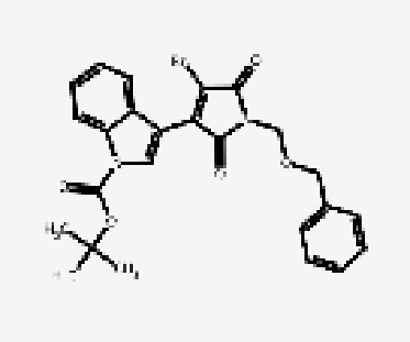 CC(C)(C)OC(=O)n1cc(C2=C(Br)C(=O)N(COCc3ccccc3)C2=O)c2ccccc21